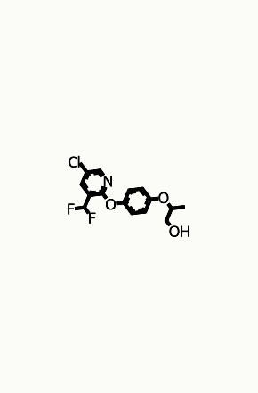 CC(CO)Oc1ccc(Oc2ncc(Cl)cc2C(F)F)cc1